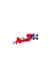 COC(=O)N[C@H](C(=O)N1C[C@@H](SC)C[C@H]1c1ncc(-c2ccc(-c3ccc(-c4[nH]c([C@@H]5CCCN5C(=O)[C@@H](COOC=N)c5ccccc5)nc4Cl)cc3)cc2)[nH]1)c1ccccc1